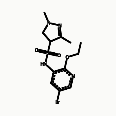 CCOc1ncc(Br)cc1NS(=O)(=O)C1CN(C)N=C1C